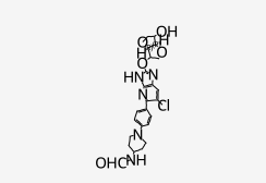 O=CNC1CCN(c2ccc(-c3nc4[nH]c(OC5CO[C@@H]6C(O)CO[C@H]56)nc4cc3Cl)cc2)CC1